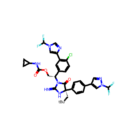 CC(C)(C)C[C@]1(c2ccc(-c3cnn(C(F)F)c3)cc2)NC(=N)N([C@H](COC(=O)NC2CC2)c2ccc(Cl)c(-c3cn(C(F)F)cn3)c2)C1=O